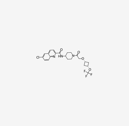 O=C(NC1CCN(C(=O)CO[C@H]2C[C@@H](OC(F)(F)F)C2)CC1)c1ccc2cc(Cl)ccc2n1